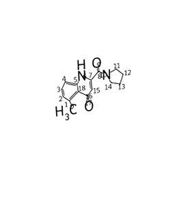 Cc1cccc2[nH]c(C(=O)N3CCCC3)cc(=O)c12